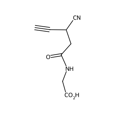 C#CC(C#N)CC(=O)NCC(=O)O